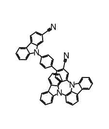 N#Cc1ccc2c3ccccc3n(-c3ccc(-c4ccc(-n5c6ccccc6c6cccc(-n7c8ccccc8c8ccccc87)c65)cc4C#N)cc3)c2c1